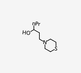 CCCC(O)CCN1CCSCC1